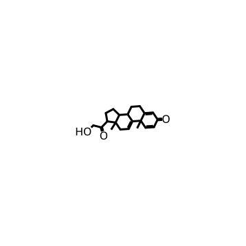 CC12C=CC(=O)C=C1CCC1C2=CCC2(C)C(C(=O)CO)CCC12